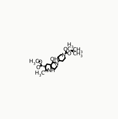 COC(=O)[C@H]1CC2=C(CCN(C3CCN(C(=O)OC(C)(C)C)CC3)[C@@H]2O)N[C@H]1C